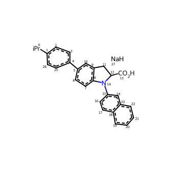 CC(C)c1ccc(-c2ccc3c(c2)CC(C(=O)O)N3c2ccc3ccccc3c2)cc1.[NaH]